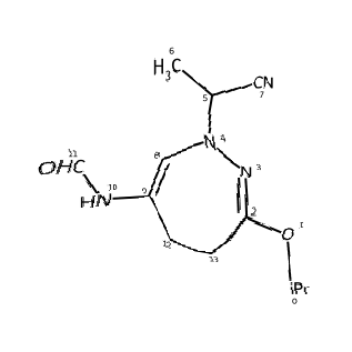 CC(C)OC1=NN(C(C)C#N)C=C(NC=O)CC1